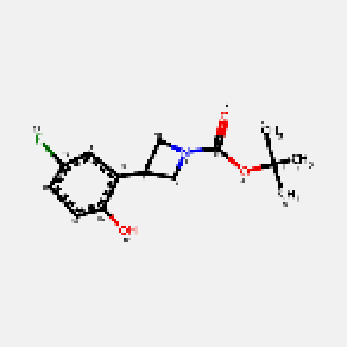 CC(C)(C)OC(=O)N1CC(c2cc(F)ccc2O)C1